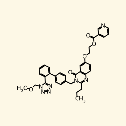 CCCc1nc2ccc(OCCOC(=O)c3cccnc3)cc2c(=O)n1Cc1ccc(-c2ccccc2-c2nnnn2COC)cc1